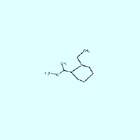 C[CH]N1CCCCC1C(C)OC